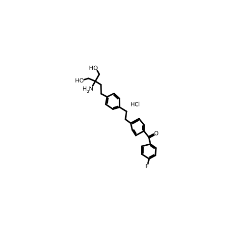 Cl.NC(CO)(CO)CCc1ccc(CCc2ccc(C(=O)c3ccc(F)cc3)cc2)cc1